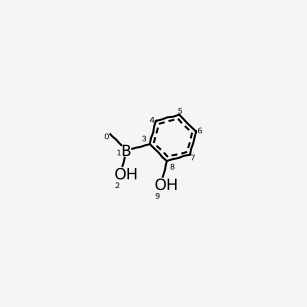 CB(O)c1ccccc1O